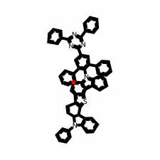 C1=CC2C(c3ccccc3N2c2ccccc2)c2sc3c(ccc4c3c3ccccc3n4-c3c(-c4ccccc4)cc(-c4nc(-c5ccccc5)nc(-c5ccccc5)n4)cc3-c3ccccc3)c21